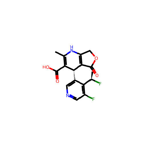 CC1=C(C(=O)O)[C@@H](c2cncc(F)c2[C@@H](C)F)C2=C(COC2=O)N1